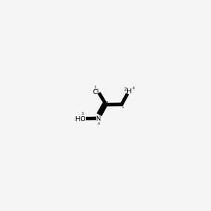 [2H]C/C(Cl)=N/O